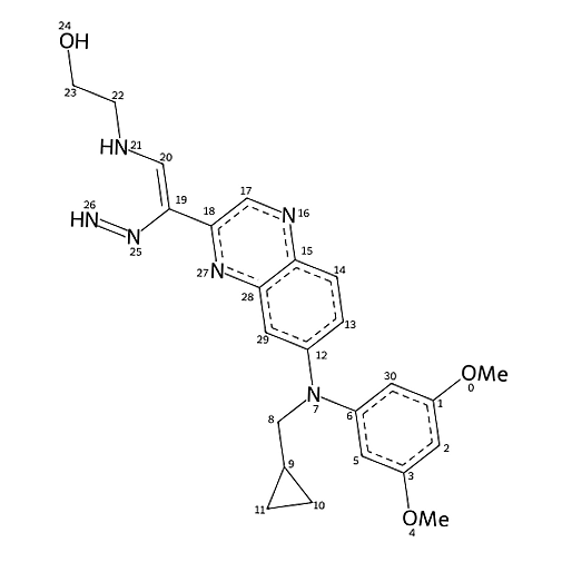 COc1cc(OC)cc(N(CC2CC2)c2ccc3ncc(/C(=C/NCCO)N=N)nc3c2)c1